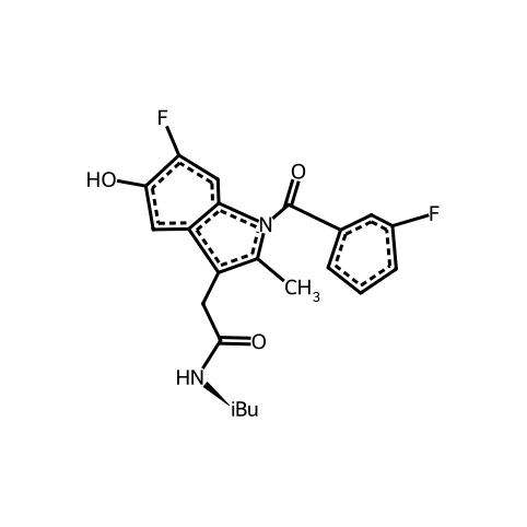 CC[C@H](C)NC(=O)Cc1c(C)n(C(=O)c2cccc(F)c2)c2cc(F)c(O)cc12